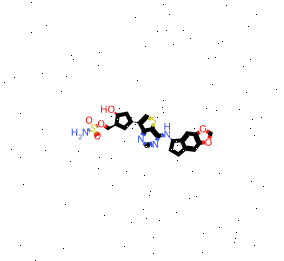 NS(=O)(=O)OC[C@@H]1C[C@@H](c2csc3c(N[C@H]4CCc5cc6c(cc54)OCO6)ncnc23)C[C@@H]1O